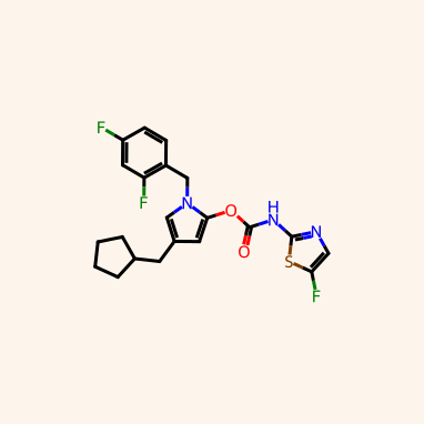 O=C(Nc1ncc(F)s1)Oc1cc(CC2CCCC2)cn1Cc1ccc(F)cc1F